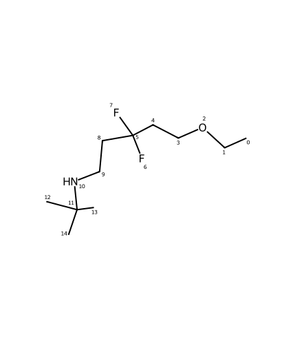 CCOCCC(F)(F)CCNC(C)(C)C